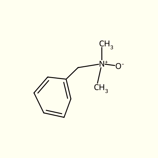 C[N+](C)([O-])Cc1ccccc1